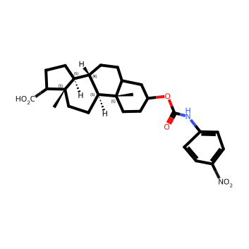 C[C@]12CCC(OC(=O)Nc3ccc([N+](=O)[O-])cc3)CC1CC[C@@H]1[C@@H]2CC[C@]2(C)C(C(=O)O)CC[C@@H]12